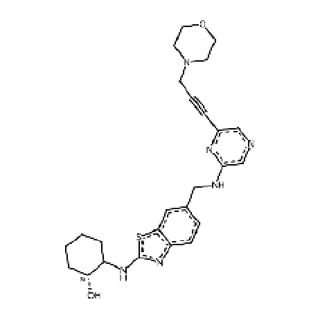 O[C@@H]1CCCCC1Nc1nc2ccc(CNc3cncc(C#CCN4CCOCC4)n3)cc2s1